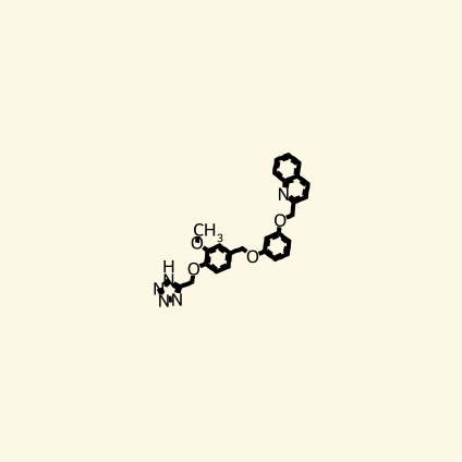 COc1cc(COc2cccc(OCc3ccc4ccccc4n3)c2)ccc1OCc1nnn[nH]1